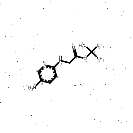 CC(C)(C)OC(=O)CNc1ccc(N)cn1